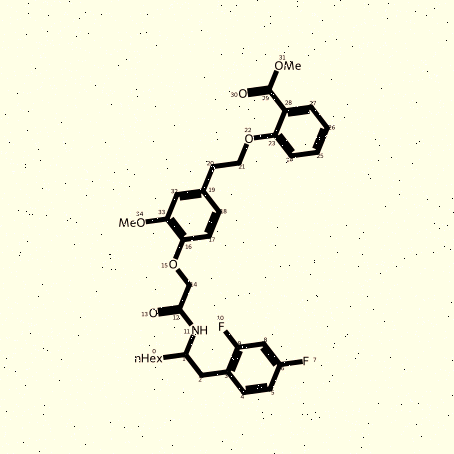 CCCCCCC(Cc1ccc(F)cc1F)NC(=O)COc1ccc(CCOc2ccccc2C(=O)OC)cc1OC